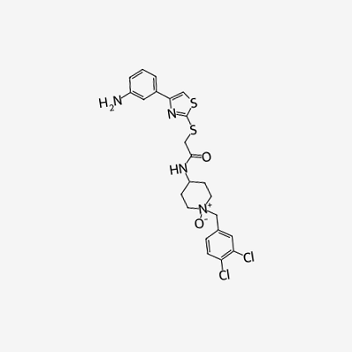 Nc1cccc(-c2csc(SCC(=O)NC3CC[N+]([O-])(Cc4ccc(Cl)c(Cl)c4)CC3)n2)c1